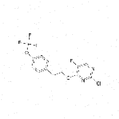 Fc1cnc(Cl)nc1OCCc1ccc(OC(F)(F)F)cc1